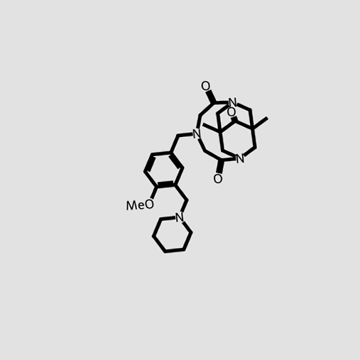 COc1ccc(CN2CC(=O)N3CC4(C)CN(CC(C)(C3)C4=O)C(=O)C2)cc1CN1CCCCC1